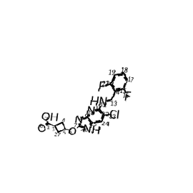 O=C(O)[C@H]1C[C@@H](Oc2nc3nc(NCc4c(F)cccc4F)c(Cl)cc3[nH]2)C1